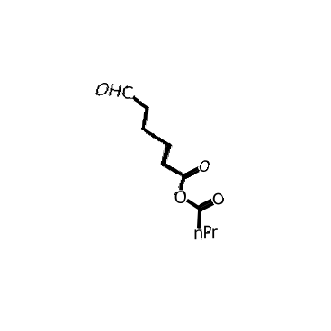 CCCC(=O)OC(=O)CCCCC=O